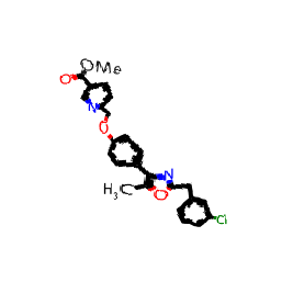 COC(=O)c1ccc(COc2ccc(-c3nc(Cc4cccc(Cl)c4)oc3C)cc2)nc1